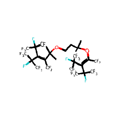 CC(C)(CCOC(C)(C)C(=C(C(F)(C(F)(F)F)C(F)(F)F)C(F)(C(F)(F)F)C(F)(F)F)C(F)(F)F)OC(=C(C(F)(C(F)(F)F)C(F)(F)F)C(F)(C(F)(F)F)C(F)(F)F)C(F)(F)F